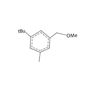 COCc1cc(C)cc(C(C)(C)C)c1